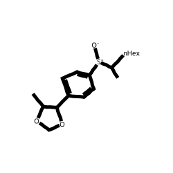 CCCCCCC(C)[S+]([O-])c1ccc(C2OCOC2C)cc1